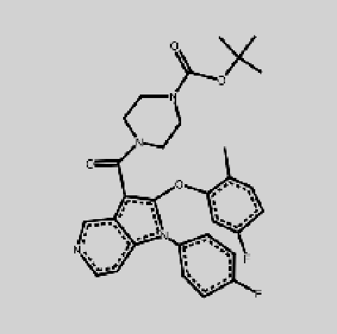 Cc1ccc(F)cc1Oc1c(C(=O)N2CCN(C(=O)OC(C)(C)C)CC2)c2cnccc2n1-c1ccc(F)cc1